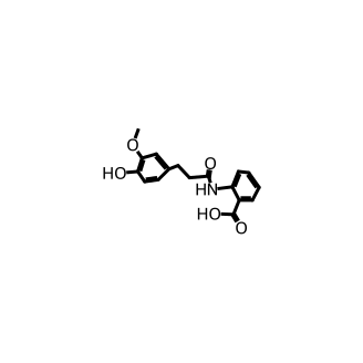 COc1cc(CCC(=O)Nc2ccccc2C(=O)O)ccc1O